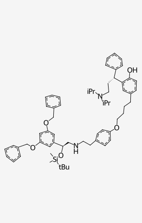 CC(C)N(CC[C@H](c1ccccc1)c1cc(CCCCOc2ccc(CCNC[C@@H](O[Si](C)(C)C(C)(C)C)c3cc(OCc4ccccc4)cc(OCc4ccccc4)c3)cc2)ccc1O)C(C)C